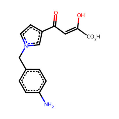 Nc1ccc(Cn2ccc(C(=O)C=C(O)C(=O)O)c2)cc1